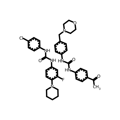 CC(=O)c1ccc(NC(=O)Nc2ccc(CN3CCOCC3)cc2)cc1.O=C(Nc1ccc(Cl)cc1)Nc1ccc(N2CCCCC2)c(F)c1